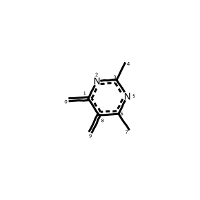 C=c1nc(C)nc(C)c1=C